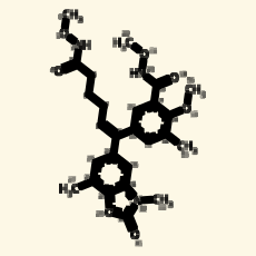 CONC(=O)CCC/C=C(\c1cc(C)c(OC)c(C(=O)NOC)c1)c1cc(C)c2oc(=O)n(C)c2c1